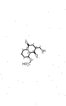 O=C(O)OC1CCCN2C(=O)CC(CS)C(=O)N12